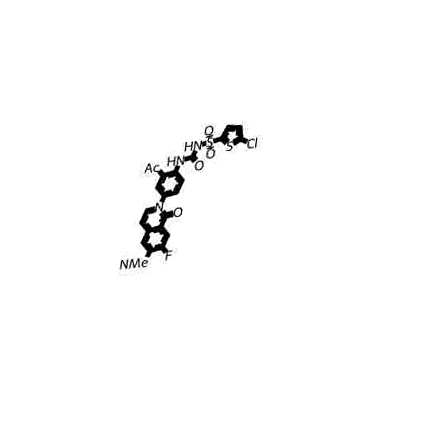 CNc1cc2ccn(-c3ccc(NC(=O)NS(=O)(=O)c4ccc(Cl)s4)c(C(C)=O)c3)c(=O)c2cc1F